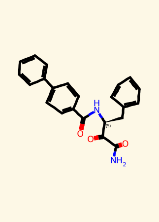 NC(=O)C(=O)[C@H](Cc1ccccc1)NC(=O)c1ccc(-c2ccccc2)cc1